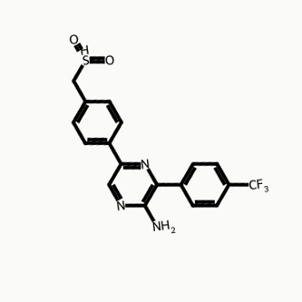 Nc1ncc(-c2ccc(C[SH](=O)=O)cc2)nc1-c1ccc(C(F)(F)F)cc1